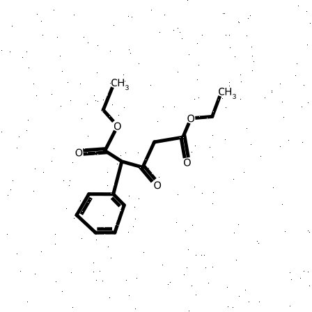 CCOC(=O)CC(=O)C(C(=O)OCC)c1ccccc1